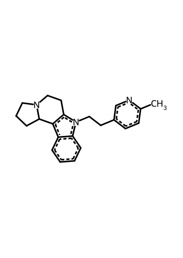 Cc1ccc(CCn2c3c(c4ccccc42)C2CCCN2CC3)cn1